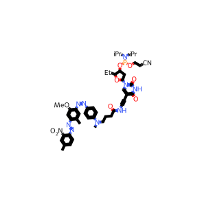 CCC1OC(n2cc(C#CNC(=O)CCCN(C)c3ccc(/N=N\c4cc(C)c(/N=N/c5ccc(C)cc5[N+](=O)[O-])cc4OC)cc3)c(=O)[nH]c2=O)CC1OP(OCCC#N)N(C(C)C)C(C)C